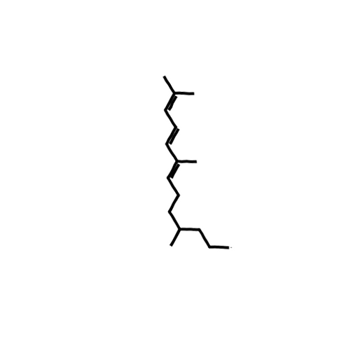 [CH2]CCC(C)CC/C=C(C)/C=C/C=C(C)C